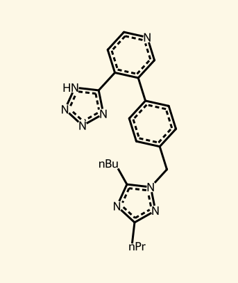 CCCCc1nc(CCC)nn1Cc1ccc(-c2cnccc2-c2nnn[nH]2)cc1